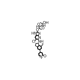 Cn1ccc(-c2cc(F)c3c(c2)CCC3Nc2nc3nc(O[C@@H]4CO[C@H]5[C@@H]4OC[C@H]5O)[nH]c3cc2Cl)cc1=O